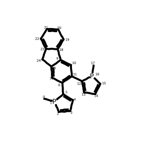 Cp1cccc1-c1[c]c2c(cc1-c1cccp1C)-c1ccccc1C2